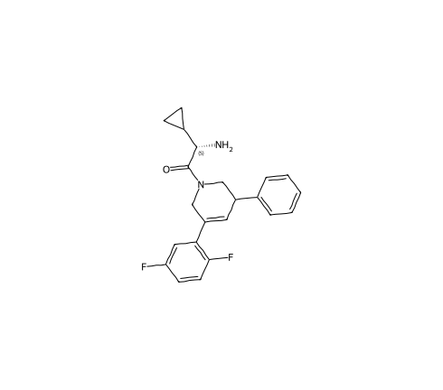 N[C@H](C(=O)N1CC(c2cc(F)ccc2F)=CC(c2ccccc2)C1)C1CC1